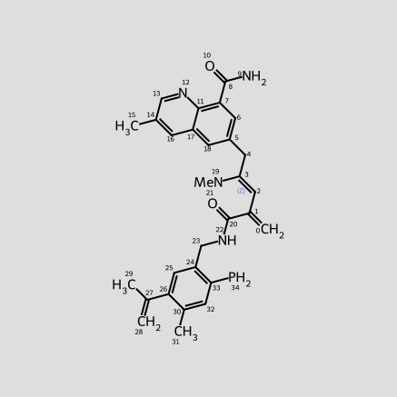 C=C(/C=C(/Cc1cc(C(N)=O)c2ncc(C)cc2c1)NC)C(=O)NCc1cc(C(=C)C)c(C)cc1P